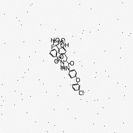 O=C(Nc1ccc(Oc2cccc(Cl)c2)cc1)C(Cc1ccc(C(F)(F)P(=O)(O)O)cc1)NS(=O)(=O)c1ccccc1